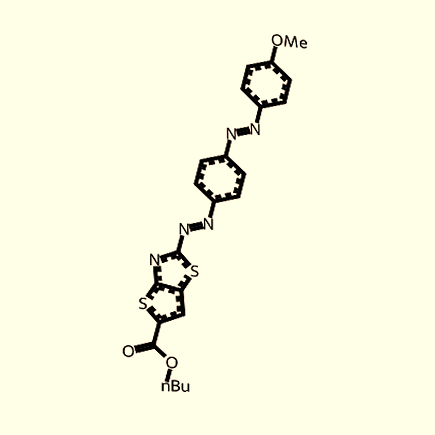 CCCCOC(=O)c1cc2sc(N=Nc3ccc(N=Nc4ccc(OC)cc4)cc3)nc2s1